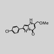 COCc1cc(=O)n2nc(-c3ccc(Cl)cc3)cc2[nH]1